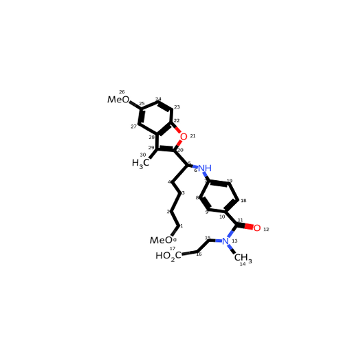 COCCCCC(Nc1ccc(C(=O)N(C)CCC(=O)O)cc1)c1oc2ccc(OC)cc2c1C